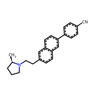 C[C@@H]1CCCN1CCc1ccc2cc(-c3ccc(C#N)cc3)ccc2c1